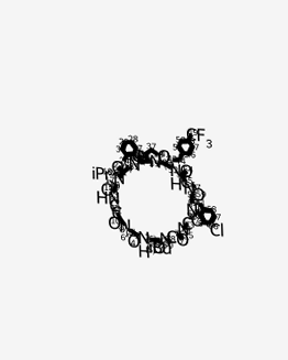 CC[C@H](C)[C@@H]1NC(=O)[C@H](C)N(C)C(=O)CCNC(=O)[C@H](CC(C)C)N(C)C(=O)[C@H](Cc2ccccc2)N(C)C(=O)[C@@H]2CCCN2C(=O)[C@H](CCc2ccc(C(F)(F)F)cc2)NC(=O)CN(C)C(=O)[C@H](Cc2ccc(Cl)cc2)N(C)C(=O)CN(C)C(=O)CN(C)C1=O